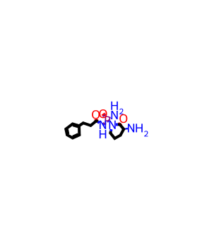 N[C@H]1CCCN(P(N)(=O)NC(=O)CCc2ccccc2)C1=O